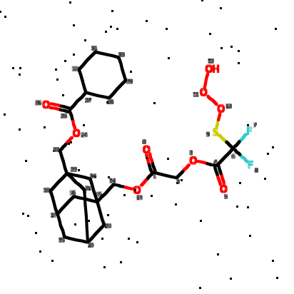 O=C(COC(=O)C(F)(F)SOOO)OCC12CC3CC(C1)CC(COC(=O)C1CCCCC1)(C3)C2